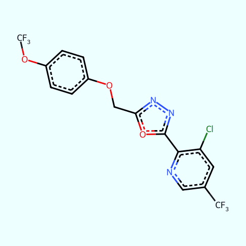 FC(F)(F)Oc1ccc(OCc2nnc(-c3ncc(C(F)(F)F)cc3Cl)o2)cc1